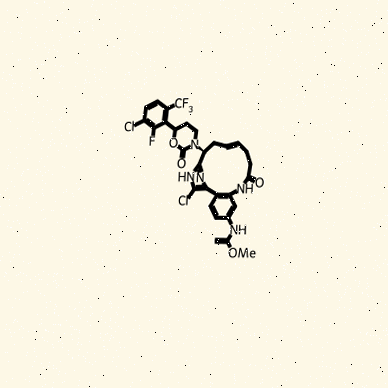 C=C(Nc1ccc2c(c1)NC(=O)CC/C=C/C[C@H](N1CCC(c3c(C(F)(F)F)ccc(Cl)c3F)OC1=O)c1nc-2c(Cl)[nH]1)OC